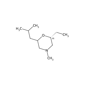 CC[C@@H]1CN(C)CC(CC(C)C)O1